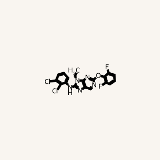 CCn1c(Nc2cccc(Cl)c2Cl)nc2cnc(Oc3c(F)cccc3F)nc21